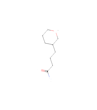 NC(=O)CCCC1CCCOC1